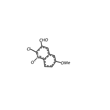 COc1ccc2c(c1)cc(C=O)c(Cl)[n+]2[O-]